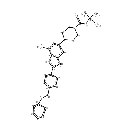 Cc1cc(C2CCN(C(=O)OC(C)(C)C)CC2)cc2[nH]c(-c3ccc(OCc4ccccc4)cc3)nc12